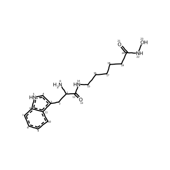 NC(Cc1c[nH]c2ccccc12)C(=O)NCCCCCC(=O)NO